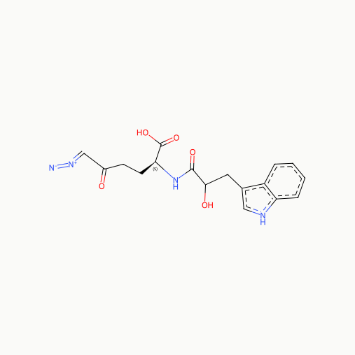 [N-]=[N+]=CC(=O)CC[C@H](NC(=O)C(O)Cc1c[nH]c2ccccc12)C(=O)O